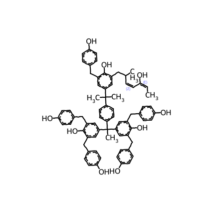 C/C=C(O)\C=C/C(C)Cc1cc(C(C)(C)c2ccc(C(C)(c3cc(Cc4ccc(O)cc4)c(O)c(Cc4ccc(O)cc4)c3)c3cc(Cc4ccc(O)cc4)c(O)c(Cc4ccc(O)cc4)c3)cc2)cc(Cc2ccc(O)cc2)c1O